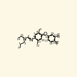 CCCN(/C=N/c1cc(C)c(Oc2ccc(F)c(F)c2)cc1C)CC